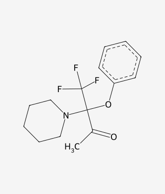 CC(=O)C(Oc1ccccc1)(N1CCCCC1)C(F)(F)F